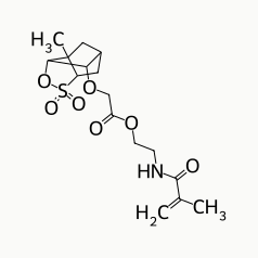 C=C(C)C(=O)NCCOC(=O)COC1C2CC3C(C)(C2)C1OS3(=O)=O